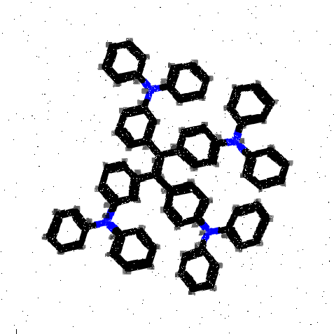 c1ccc(N(c2ccccc2)c2ccc(/C(=C(\c3ccc(N(c4ccccc4)c4ccccc4)cc3)c3cccc(N(c4ccccc4)c4ccccc4)c3)c3cccc(N(c4ccccc4)c4ccccc4)c3)cc2)cc1